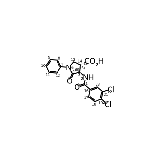 O=C(N[C@H]1C(=O)N(c2ccccc2)C[C@@H]1C(=O)O)c1ccc(Cl)c(Cl)c1